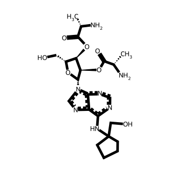 C[C@H](N)C(=O)O[C@@H]1[C@H](OC(=O)[C@H](C)N)[C@@H](CO)O[C@H]1n1cnc2c(NC3(CO)CCCC3)ncnc21